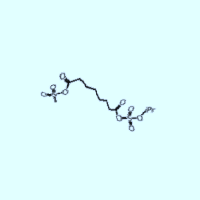 CC(C)OS(=O)(=O)OC(=O)CCCCCCC(=O)OS(C)(=O)=O